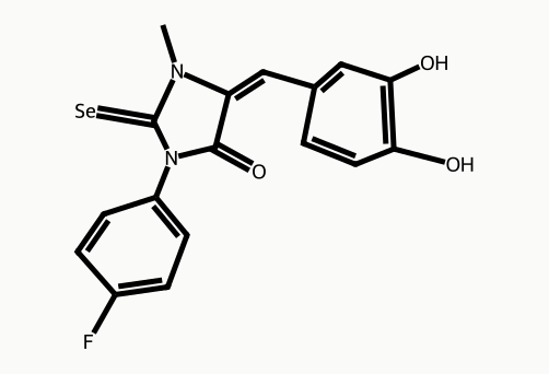 CN1C(=[Se])N(c2ccc(F)cc2)C(=O)C1=Cc1ccc(O)c(O)c1